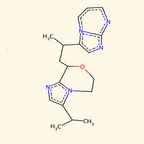 CC(C)c1cnc2n1CCOC2CC(C)c1cnc2ncccn12